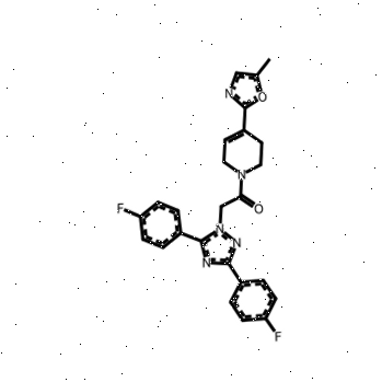 Cc1cnc(C2=CCN(C(=O)Cn3nc(-c4ccc(F)cc4)nc3-c3ccc(F)cc3)CC2)o1